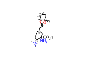 C[C@@H]1C(C)(C)CC[C@@H]2OB(CC[C@@H]3CC[C@@H](CN(C)C)[C@@](N)(C(=O)O)C3)O[C@@]21C